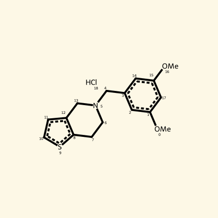 COc1cc(CN2CCc3sccc3C2)cc(OC)c1.Cl